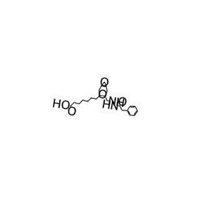 O=C(O)CCCCCCC1C(CNNC(=O)Cc2ccccc2)C2OC1C1OC21